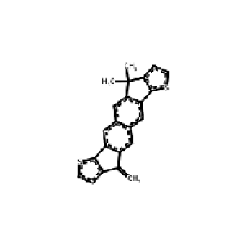 C=C1c2cc3cc4c(cc3cc2-c2sccc21)C(C)(C)c1ccsc1-4